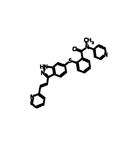 CN(C(=O)c1ccccc1Sc1ccc2c(/C=C/c3ccccn3)n[nH]c2c1)c1ccncc1